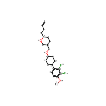 C=CCCC1CCC(COC2CCC(c3ccc(OCC)c(F)c3F)CC2)CO1